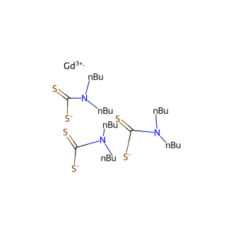 CCCCN(CCCC)C(=S)[S-].CCCCN(CCCC)C(=S)[S-].CCCCN(CCCC)C(=S)[S-].[Gd+3]